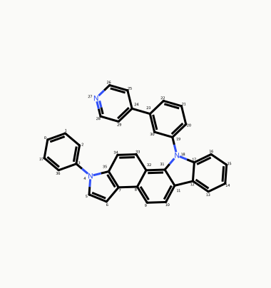 c1ccc(-n2ccc3c4ccc5c6ccccc6n(-c6cccc(-c7ccncc7)c6)c5c4ccc32)cc1